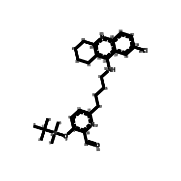 CC(C)(C)[Si](C)(C)Oc1ccc(CCCCNc2c3c(nc4ccc(Cl)cc24)CCCC3)nc1C=O